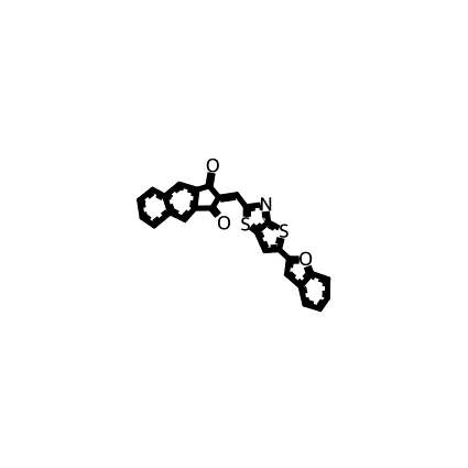 O=C1C(=Cc2nc3sc(-c4cc5ccccc5o4)cc3s2)C(=O)c2cc3ccccc3cc21